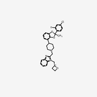 CC1(c2ccc(Cl)cc2F)Oc2cccc(C3CCN(Cc4nc5ccccc5n4C[C@@H]4CCO4)CC3)c2O1